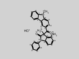 Cl.Cn1c2ccccc2c2cc(C(=O)C3(C)C(=O)N(c4ccccc4)c4cccc(N)c43)ncc21